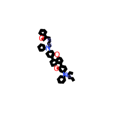 C=C/C=C(\C=C)N(c1ccccc1)c1ccc2c(c1)Oc1ccc3c4c(ccc-2c14)Oc1cc(N(/C=C/C=C\c2coc4ccccc24)c2ccccc2)ccc1-3